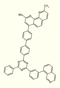 Cc1ccc2ccc3c(-c4ccc(-c5ccc(-c6nc(-c7ccccc7)nc(-c7cccc(-c8cccc9ccncc89)c7)n6)cc5)cc4)cc(C(C)(C)C)nc3c2n1